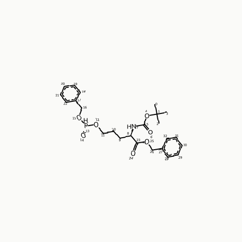 CC(C)(C)OC(=O)NC(CCCO[PH](=O)OCc1ccccc1)C(=O)OCc1ccccc1